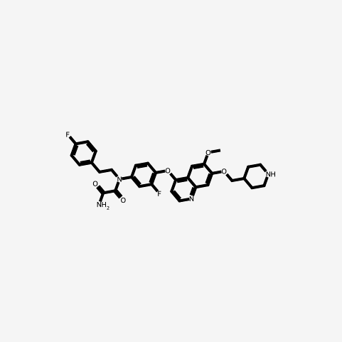 COc1cc2c(Oc3ccc(N(CCc4ccc(F)cc4)C(=O)C(N)=O)cc3F)ccnc2cc1OCC1CCNCC1